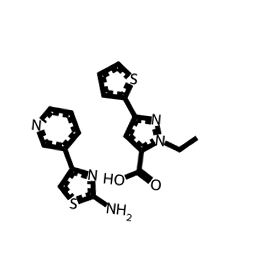 CCn1nc(-c2cccs2)cc1C(=O)O.Nc1nc(-c2cccnc2)cs1